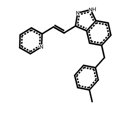 Cc1cccc(Cc2ccc3[nH]nc(C=Cc4ccccn4)c3c2)c1